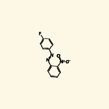 O=[N+]([O-])c1ccccc1N=Nc1ccc(F)cc1